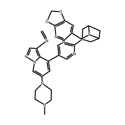 C=Nc1cnn2cc(N3CCN(C)CC3)cc(-c3cnc(N4CC5CC(C4)N5Cc4cnc5c(c4)OCO5)nc3)c12